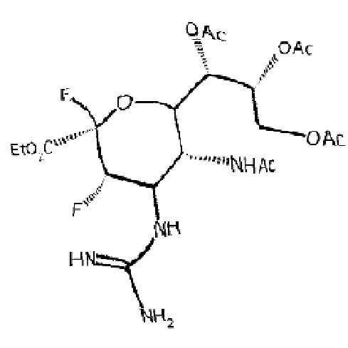 CCOC(=O)[C@]1(F)OC([C@H](OC(C)=O)[C@@H](COC(C)=O)OC(C)=O)[C@H](NC(C)=O)C(NC(=N)N)[C@@H]1F